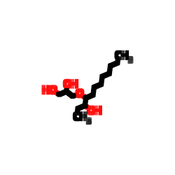 CCCCCCCCC(OCC(O)CO)C(O)CC